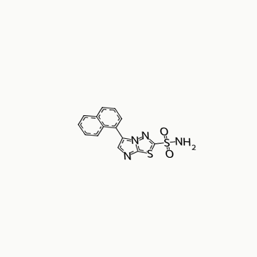 NS(=O)(=O)c1nn2c(-c3cccc4ccccc34)cnc2s1